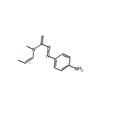 C=C(N=Nc1ccc(N)cc1)N(C)/C=C\C